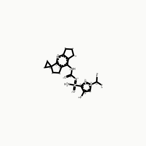 NS(=O)(=NC(=O)Nc1c2c(nc3c1CCC31CC1)CCC2)c1nn(C(F)F)cc1F